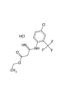 CCOC(=O)CC(=N)Nc1ccc(Cl)cc1C(F)(F)F.Cl